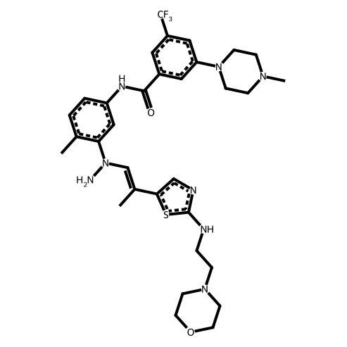 C/C(=C\N(N)c1cc(NC(=O)c2cc(N3CCN(C)CC3)cc(C(F)(F)F)c2)ccc1C)c1cnc(NCCN2CCOCC2)s1